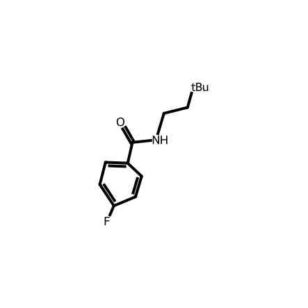 CC(C)(C)CCNC(=O)c1ccc(F)cc1